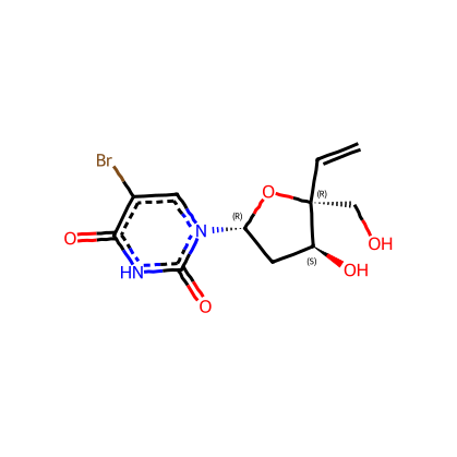 C=C[C@]1(CO)O[C@@H](n2cc(Br)c(=O)[nH]c2=O)C[C@@H]1O